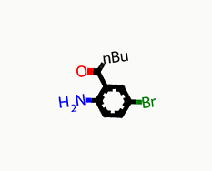 CCCCC(=O)c1cc(Br)ccc1N